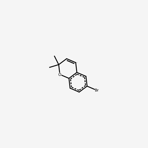 CC1(C)C=[C]c2cc(Br)ccc2O1